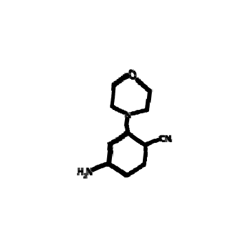 N#CC1CCC(N)CC1N1CCOCC1